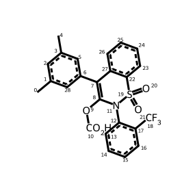 Cc1cc(C)cc(C2=C(OC(=O)O)N(c3ccccc3C(F)(F)F)S(=O)(=O)c3ccccc32)c1